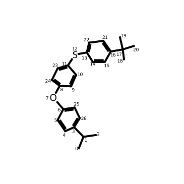 CC(C)c1ccc(Oc2ccc(Sc3ccc(C(C)(C)C)cc3)cc2)cc1